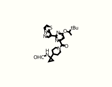 CC(Oc1cc(C(=O)N2CCC(C3(NC=O)CC3)CC2)nc(-c2cnn3ccsc23)n1)C(C)(C)C